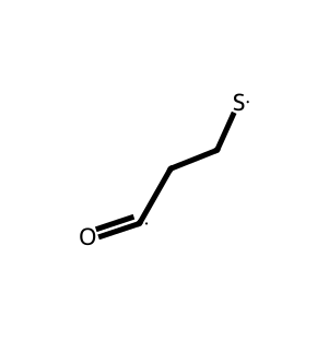 O=[C]CC[S]